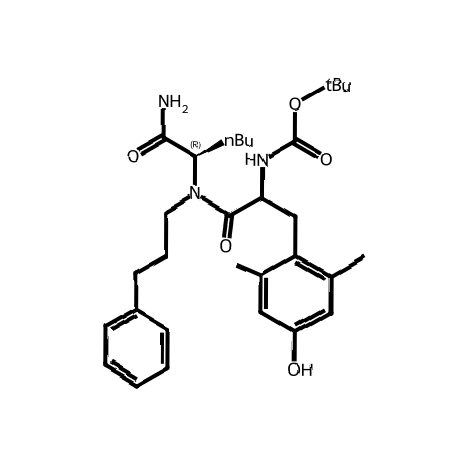 CCCC[C@H](C(N)=O)N(CCCc1ccccc1)C(=O)C(Cc1c(C)cc(O)cc1C)NC(=O)OC(C)(C)C